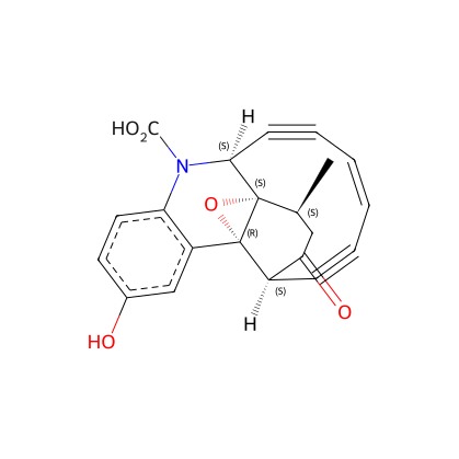 C[C@H]1CC(=O)[C@H]2C#CC=CC#C[C@@H]3N(C(=O)O)c4ccc(O)cc4[C@]24O[C@]314